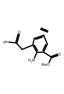 C=C.CCCC(=O)Cc1cccc(C(=O)OC)c1N